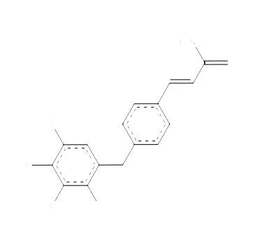 C=C(N)/C=C/c1ccc(Cc2cc(F)c(F)c(F)c2F)cc1